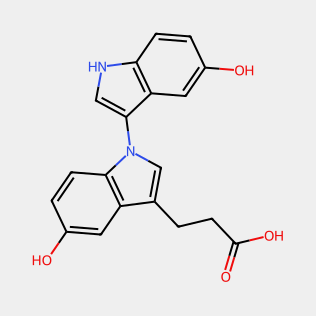 O=C(O)CCc1cn(-c2c[nH]c3ccc(O)cc23)c2ccc(O)cc12